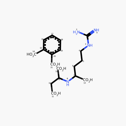 N=C(N)NCCCC(NC(CC(=O)O)C(=O)O)C(=O)O.O=C(O)c1ccccc1C(=O)O